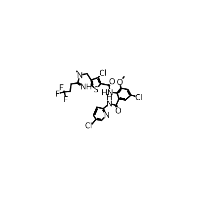 COc1cc(Cl)cc(C(=O)Nc2ccc(Cl)cn2)c1NC(=O)c1scc(CN(C)C(=N)CCC(F)(F)F)c1Cl